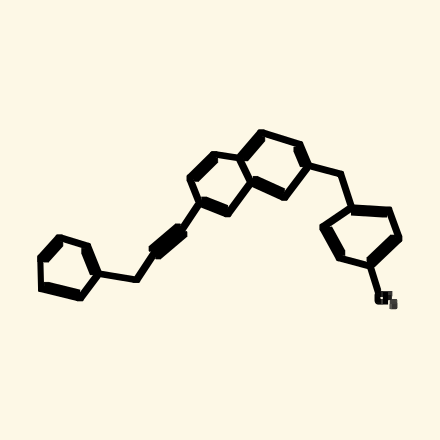 FC(F)(F)c1ccc(Cc2ccc3ccc(C#CCc4ccccc4)cc3c2)cc1